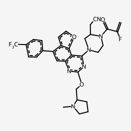 C=C(F)C(=O)N1CCN(c2nc(OCC3CCCN3C)nc3cc(-c4ccc(C(F)(F)F)cc4)c4ccoc4c23)CC1CC#N